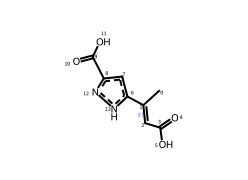 C/C(=C\C(=O)O)c1cc(C(=O)O)n[nH]1